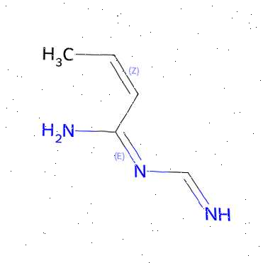 C/C=C\C(N)=N/C=N